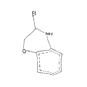 CCC1COc2ccccc2N1